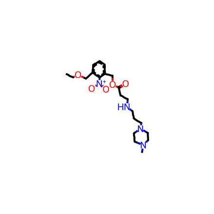 CCOCc1cccc(COC(=O)CCNCCCN2CCN(C)CC2)c1[N+](=O)[O-]